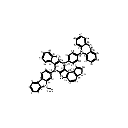 CCn1c2ccccc2c2ccc(B3c4oc5ccc6sccc6c5c4B(c4ccc(N5c6ccccc6Oc6ccccc65)cc4)c4oc5ccccc5c43)cc21